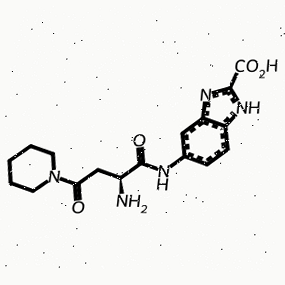 N[C@@H](CC(=O)N1CCCCC1)C(=O)Nc1ccc2[nH]c(C(=O)O)nc2c1